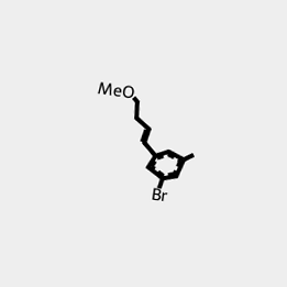 COCCC=Cc1cc(C)cc(Br)c1